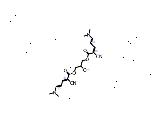 CN(C)/C=C/C=C(/C#N)C(=O)OCC(O)COC(=O)/C(C#N)=C/C=C/N(C)C